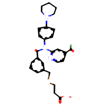 CC(C)(C)OC(=O)CCSCc1cccc(C(=O)N(c2ccc(N3CCCCC3)cc2)c2cc(C(=O)Cl)ccn2)c1